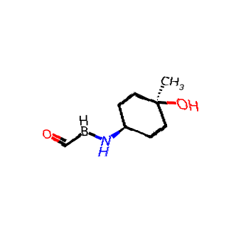 C[C@]1(O)CC[C@@H](NBC=O)CC1